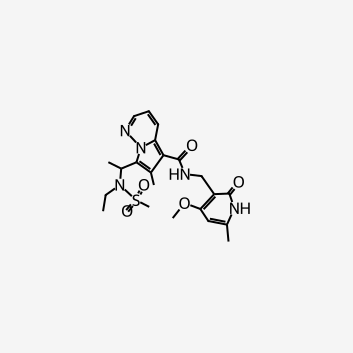 CCN(C(C)c1c(C)c(C(=O)NCc2c(OC)cc(C)[nH]c2=O)c2cccnn12)S(C)(=O)=O